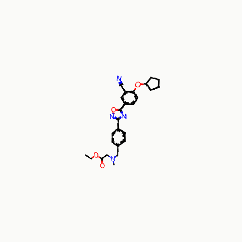 CCOC(=O)CN(C)Cc1ccc(-c2noc(-c3ccc(OC4CCCC4)c(C#N)c3)n2)cc1